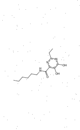 CCCCCCNC(=O)c1nc(CC)nc(O)c1O